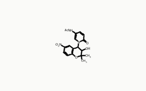 CC(=O)Nc1ccc(=O)n(C2c3cc([N+](=O)[O-])ccc3OC(C)(C)C2O)c1